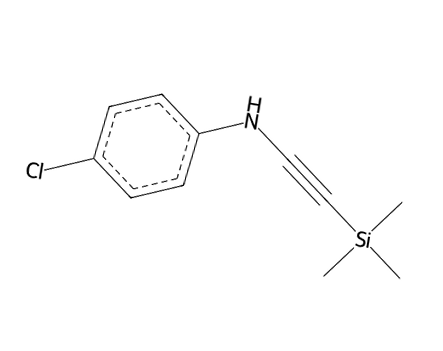 C[Si](C)(C)C#CNc1ccc(Cl)cc1